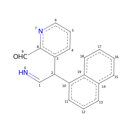 N=CC(c1cccnc1C=O)c1cccc2ccccc12